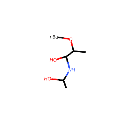 CCCCOC(C)C(O)NC(C)O